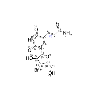 NC(=O)/C=C/c1cn([C@@H]2O[C@H](CO)[C@H](Br)[C@H]2O)c(=O)[nH]c1=O